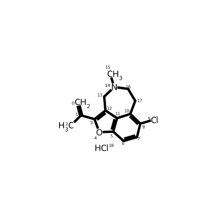 C=C(C)c1oc2ccc(Cl)c3c2c1CN(C)CC3.Cl